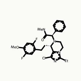 CCc1nc(Cl)c2n1CCN([C@@H](C(=O)NC)c1ccccc1)[C@H]2CCc1cc(F)c(OC)cc1F